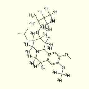 [2H]C([2H])([2H])Oc1cc2c(cc1OC)C1([2H])N(C([2H])([2H])C2([2H])[2H])C([2H])([2H])C([2H])(CC(C)C)C([2H])(OC(=O)[C@@]([2H])(N)C([2H])(C([2H])([2H])[2H])C([2H])([2H])[2H])C1([2H])[2H]